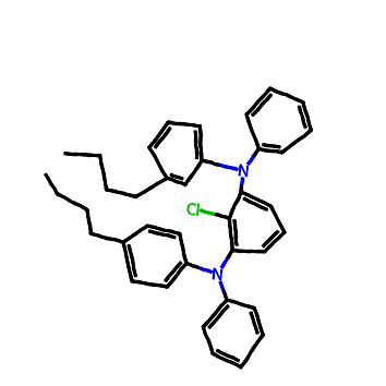 CCCCc1ccc(N(c2ccccc2)c2cccc(N(c3ccccc3)c3cccc(CCCC)c3)c2Cl)cc1